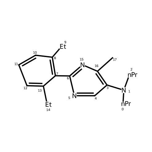 CCCN(CCC)c1cnc(-c2c(CC)cccc2CC)nc1C